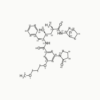 COCCCOc1cc(C(=O)N[C@@H](Cc2ccccc2)[C@@H](O)C[C@@H](C)C(=O)NC2CC3CCC2C3)cc(N2CCCC2=O)c1